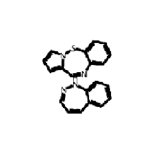 C1=Cc2ccccc2NN=C1.C1=Nc2ccccc2Sn2cccc21